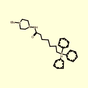 CC(C)(C)N1CCN(NC(=O)CCCCCC[PH](c2ccccc2)(c2ccccc2)c2ccccc2)CC1